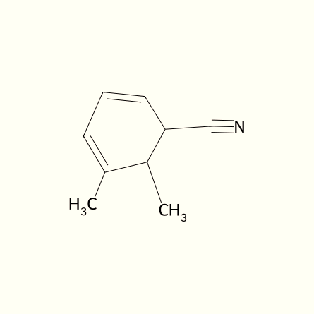 CC1=CC=CC(C#N)C1C